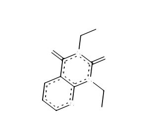 CCn1c(=O)c2cccnc2n(CC)c1=O